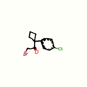 O=C(CBr)C1(c2ccc(Cl)cc2)CCC1